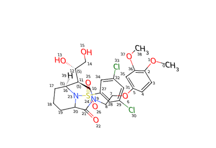 COc1ccc(OCCN2C[C@H]([C@H](O)CO)[C@@H]3CCCC(C2=O)N3S(=O)(=O)c2cc(Cl)cc(Cl)c2)cc1OC